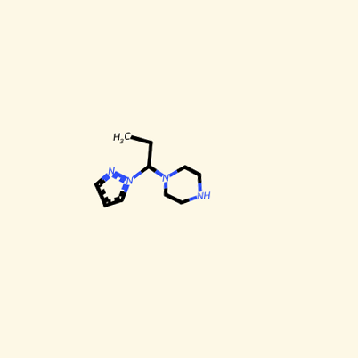 CCC(N1CCNCC1)n1cccn1